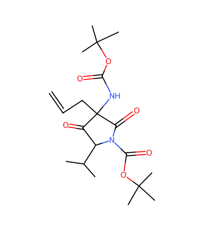 C=CCC1(NC(=O)OC(C)(C)C)C(=O)C(C(C)C)N(C(=O)OC(C)(C)C)C1=O